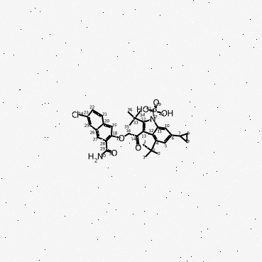 CC(C)(C)c1cc(C2CC2)cc2c1c(C(=O)COc1cc3ccc(Cl)cc3cc1C(N)=O)c(C(C)(C)C)n2P(=O)(O)O